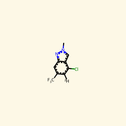 [2H]c1c(C(F)(F)F)cc2nn(C)cc2c1Cl